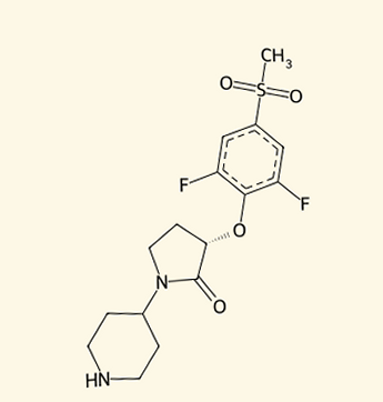 CS(=O)(=O)c1cc(F)c(O[C@H]2CCN(C3CCNCC3)C2=O)c(F)c1